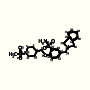 CS(=O)(=O)N1CCC(COc2ccc(CN3Cc4ccccc4C3)cc2S(N)(=O)=O)CC1